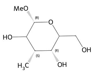 CO[C@@H]1OC(CO)[C@H](O)[C@H](C)C1O